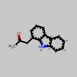 CC(=O)Cc1cccc2c1[nH]c1ccccc12